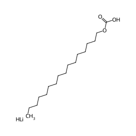 CCCCCCCCCCCCCCCCOC(=O)O.[LiH]